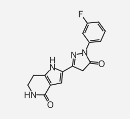 O=C1NCCc2[nH]c(C3=NN(c4cccc(F)c4)C(=O)C3)cc21